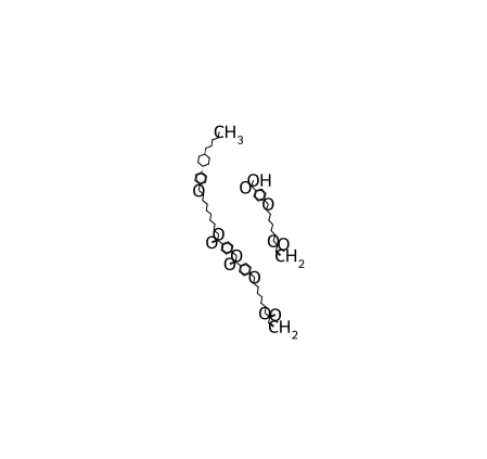 C=CC(=O)OCCCCCCOc1ccc(C(=O)O)cc1.C=CC(=O)OCCCCCCOc1ccc(C(=O)Oc2ccc(C(=O)OCCCCCCCCOc3ccc([C@H]4CC[C@H](CCCCC)CC4)cc3)cc2)cc1